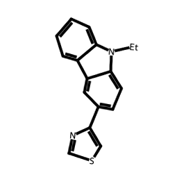 CCn1c2ccccc2c2cc(-c3cscn3)ccc21